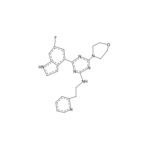 Fc1cc(-c2nc(NCCc3ccccn3)nc(N3CCOCC3)n2)c2cc[nH]c2c1